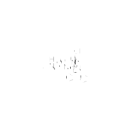 Cc1cc(C(=O)NC(Cc2ccccc2)C(=O)C(=O)NC2CC2)n(-c2nc(-c3ccccc3)cs2)n1